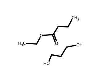 CCCC(=O)OCC.OCCCO